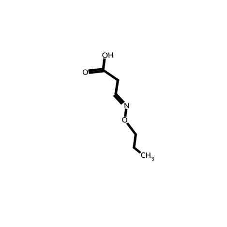 CCCON=CCC(=O)O